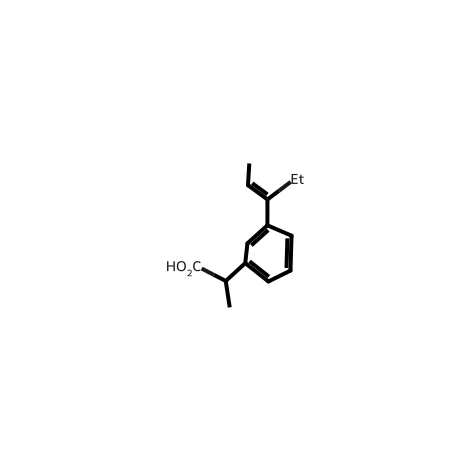 CC=C(CC)c1cccc(C(C)C(=O)O)c1